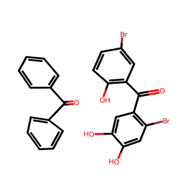 O=C(c1cc(Br)ccc1O)c1cc(O)c(O)cc1Br.O=C(c1ccccc1)c1ccccc1